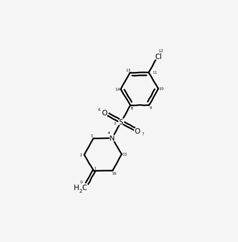 C=C1CCN(S(=O)(=O)c2ccc(Cl)cc2)CC1